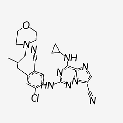 CC(Cc1cc(Cl)c(Nc2nc(NC3CC3)c3ncc(C#N)n3n2)cc1C#N)CN1CCOCC1